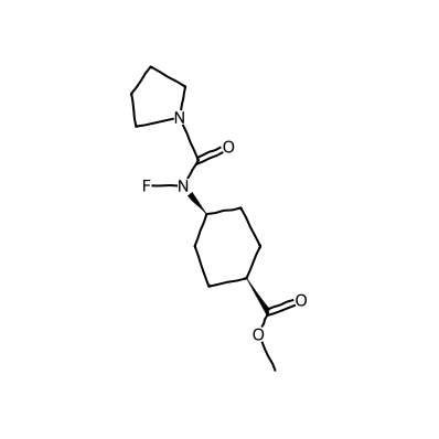 COC(=O)[C@H]1CC[C@@H](N(F)C(=O)N2CCCC2)CC1